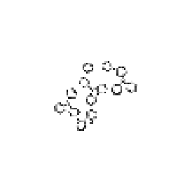 c1ccc(-c2cccc(-n3c4ccc(-c5ccc6oc7cccc(-c8ccc9c(c8)c8ccccc8n9-c8ccccc8)c7c6c5)cc4c4cc(-c5ccc6c7ccccc7n(-c7cccc(-c8ccccc8)c7)c6c5)ccc43)c2)cc1